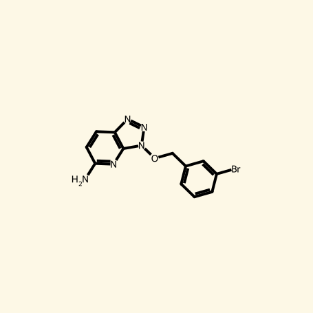 Nc1ccc2nnn(OCc3cccc(Br)c3)c2n1